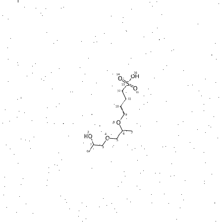 CC(O)COCC(C)OCCCCS(=O)(=O)O